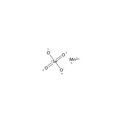 O=[Se](=O)([O-])[O-].[Mn+2]